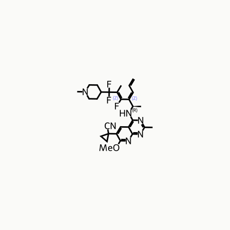 C=C/C=C(\C(F)=C(/C)C(F)(F)C1CCN(C)CC1)[C@@H](C)Nc1nc(C)nc2nc(OC)c(C3(C#N)CC3)cc12